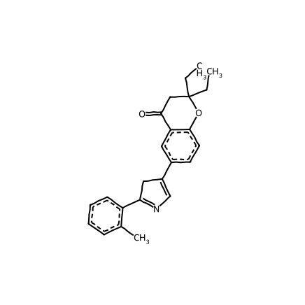 CCC1(CC)CC(=O)c2cc(C3=CN=C(c4ccccc4C)C3)ccc2O1